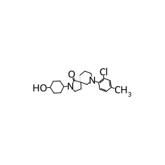 Cc1ccc(N2CCC[C@@]3(CCN(C4CCC(O)CC4)C3=O)C2)c(Cl)c1